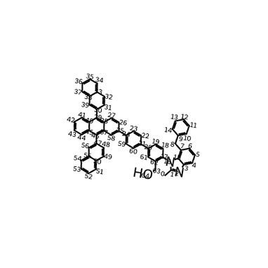 Cc1nc2cccc(Cc3ccccc3)c2n1-c1ccc(-c2ccc(-c3ccc4c(-c5ccc6ccccc6c5)c5ccccc5c(-c5ccc6ccccc6c5)c4c3)cc2)cc1CO